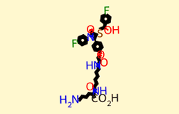 NCCCCC(NC(=O)CCCCCNC(=O)COc1ccc([C@@H]2[C@@H](SC[C@H](O)c3ccc(F)cc3)C(=O)N2c2ccc(F)cc2)cc1)C(=O)O